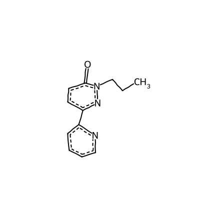 CCCn1nc(-c2ccccn2)ccc1=O